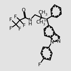 CC(C)(CNC(=O)C(F)(F)C(F)(F)F)[C@@H](c1ccccc1)c1ccc2c(cnn2-c2ccc(F)cc2)c1